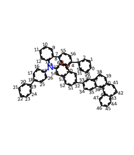 c1ccc(-c2ccc(-c3ccccc3N(c3ccc(-c4ccccc4)cc3)c3ccc4cc(-c5ccc6c(ccc7ccc8ccccc8c76)c5)ccc4c3)cc2)cc1